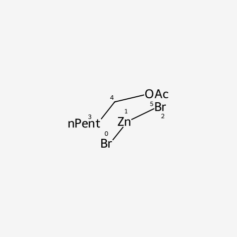 [Br][Zn][Br].[CH2]CCCCCOC(C)=O